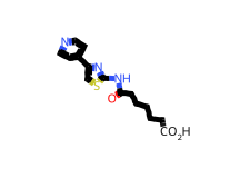 O=C(O)CCCCCC(=O)Nc1nc(-c2ccncc2)cs1